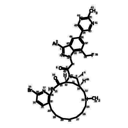 CC(=O)c1nn(CC(=O)N2[C@H](I)[C@@H]3C[C@H]2C(=O)Nc2nc(Br)ccc2CCCCCCCN(C)C3)c2c(CF)cc(-c3cnc(C)nc3)cc12